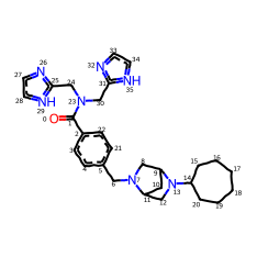 O=C(c1ccc(CN2CC3CC2CN3C2CCCCCC2)cc1)N(Cc1ncc[nH]1)Cc1ncc[nH]1